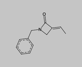 C/C=C1\CN(Cc2ccccc2)C1=O